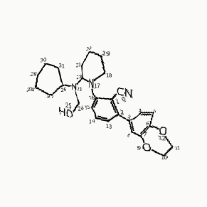 N#Cc1c(-c2ccc3c(c2)OCCO3)cccc1N1CCCCC1N(CO)C1CCCCC1